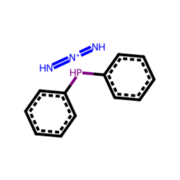 N=[N+]=N.c1ccc(Pc2ccccc2)cc1